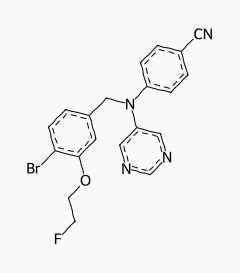 N#Cc1ccc(N(Cc2ccc(Br)c(OCCF)c2)c2cncnc2)cc1